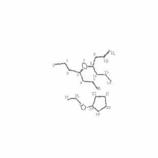 CCCC(CCC)OC(CCC)CCC.CCOC1CCCC1